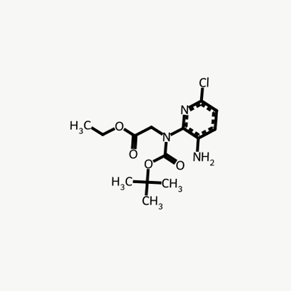 CCOC(=O)CN(C(=O)OC(C)(C)C)c1nc(Cl)ccc1N